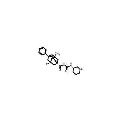 C[C@@]12C[C@@H]3C[C@](C(=O)OC(=O)N[C@H]4CCCNC4)(C1)C[C@](c1ccccc1)(C3)C2